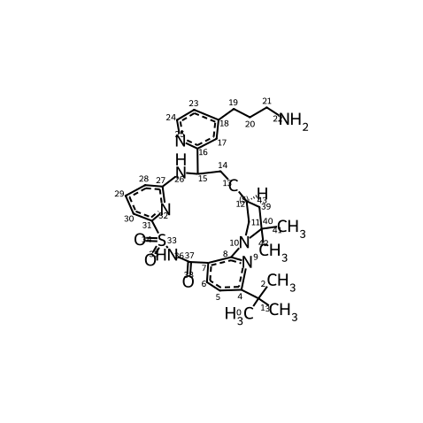 CC(C)(C)c1ccc2c(n1)N1C[C@@H](CCC(c3cc(CCCN)ccn3)Nc3cccc(n3)S(=O)(=O)NC2=O)CC1(C)C